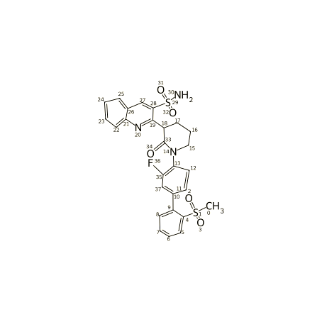 CS(=O)(=O)c1ccccc1-c1ccc(N2CCCC(c3nc4ccccc4cc3S(N)(=O)=O)C2=O)c(F)c1